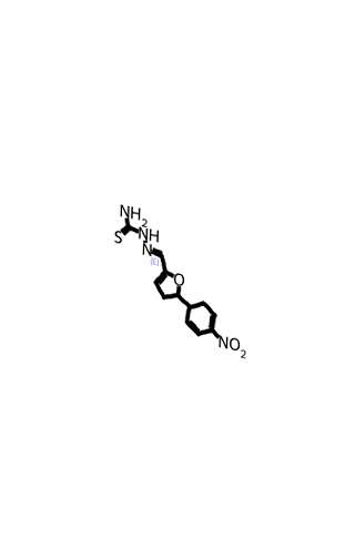 NC(=S)N/N=C/C1=CCC(C2C=CC([N+](=O)[O-])=CC2)O1